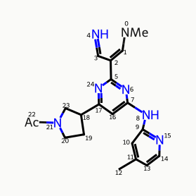 CN/C=C(\C=N)c1nc(Nc2cc(C)ccn2)cc(C2CCN(C(C)=O)C2)n1